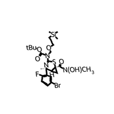 CN(O)C(=O)[C@]12C[C@H]1[C@@](C)(c1cc(Br)ccc1F)N=C(N(COCC[Si](C)(C)C)C(=O)OC(C)(C)C)S2